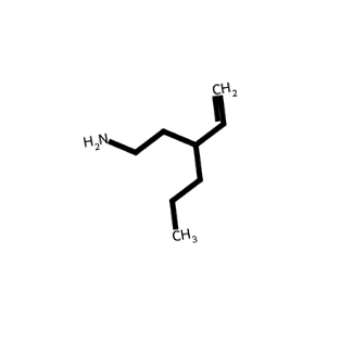 C=CC(CCC)CCN